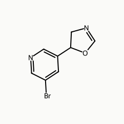 Brc1cncc(C2CN=CO2)c1